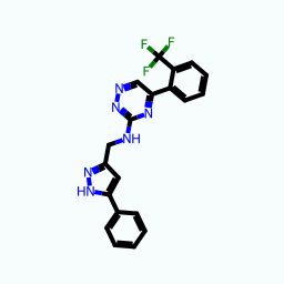 FC(F)(F)c1ccccc1-c1cnnc(NCc2cc(-c3ccccc3)[nH]n2)n1